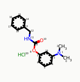 CN(C)c1cccc(OC(=O)NCc2ccccc2)c1.Cl